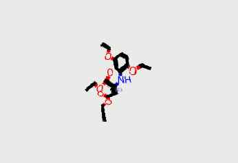 CCOC(=O)/C=C(/Nc1cc(OCC)ccc1OCC)C(=O)OCC